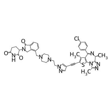 Cc1c(C#Cc2cnn(CCN3CCN(Cc4cccc5c4CN(C4CCC(=O)NC4=O)C5=O)CC3)c2)sc2c1C(c1ccc(Cl)cc1)=N[C@@H](C)c1nnc(C)n1-2